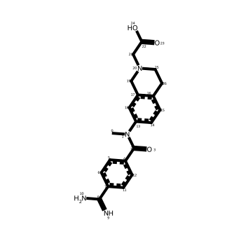 CN(C(=O)c1ccc(C(=N)N)cc1)c1ccc2c(c1)CN(CC(=O)O)CC2